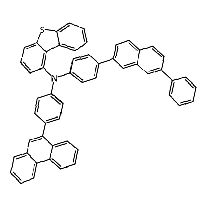 c1ccc(-c2ccc3ccc(-c4ccc(N(c5ccc(-c6cc7ccccc7c7ccccc67)cc5)c5cccc6sc7ccccc7c56)cc4)cc3c2)cc1